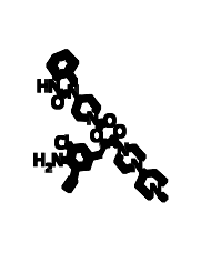 C#Cc1cc(C[C@@H](OC(=O)N2CCC(N3Cc4ccccc4NC3=O)CC2)C(=O)N2CCN(C3CCN(C)CC3)CC2)cc(Cl)c1N